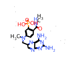 CNC(=O)c1ccc(N(C)Cc2cnc3nc(N)nc(N)c3n2)cc1P(=O)(O)O